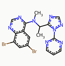 CC(c1ncnn1-c1ncccn1)N(C)c1ncnc2c(Br)cc(Br)cc12